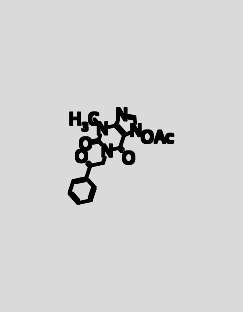 CC(=O)On1cnc2c1c(=O)n(CC(=O)c1ccccc1)c(=O)n2C